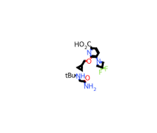 CC(C)(C)NCC(N)=O.O=C(O)c1ccc(N2CC(F)(F)C2)c(OCC2CC2)n1